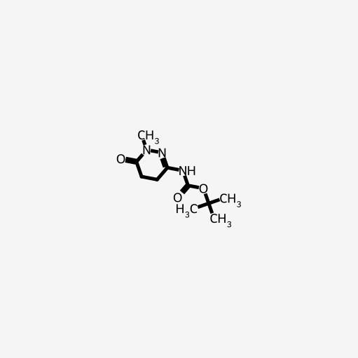 CN1N=C(NC(=O)OC(C)(C)C)CCC1=O